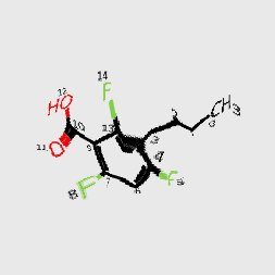 CCCc1c(F)cc(F)c(C(=O)O)c1F